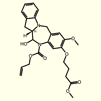 C=CCOC(=O)N1c2cc(OCCCC(=O)OC)c(OC)cc2CN2c3ccccc3C[C@H]2C1O